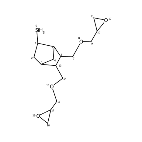 [SiH3]C1CC2CC1C(COCC1CO1)C2COCC1CO1